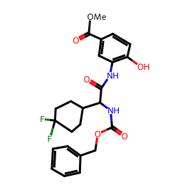 COC(=O)c1ccc(O)c(NC(=O)C(NC(=O)OCc2ccccc2)C2CCC(F)(F)CC2)c1